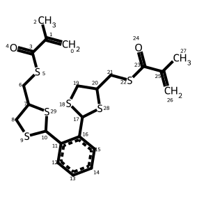 C=C(C)C(=O)SCC1CSC(c2ccccc2C2SCC(CSC(=O)C(=C)C)S2)S1